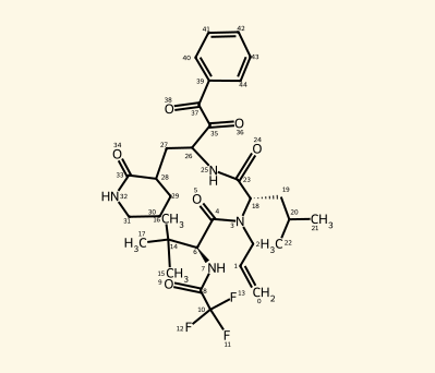 C=CCN(C(=O)[C@@H](NC(=O)C(F)(F)F)C(C)(C)C)[C@@H](CC(C)C)C(=O)NC(CC1CCCNC1=O)C(=O)C(=O)c1ccccc1